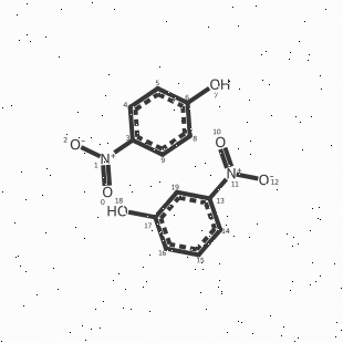 O=[N+]([O-])c1ccc(O)cc1.O=[N+]([O-])c1cccc(O)c1